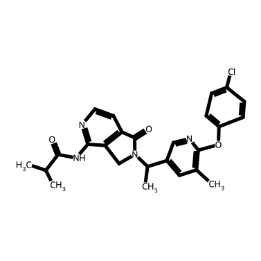 Cc1cc(C(C)N2Cc3c(ccnc3NC(=O)C(C)C)C2=O)cnc1Oc1ccc(Cl)cc1